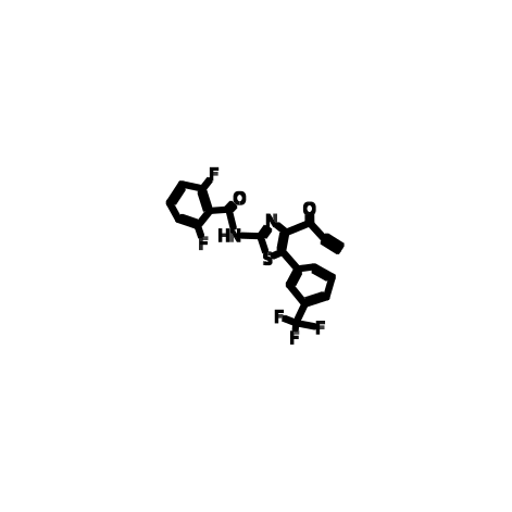 C#CC(=O)c1nc(NC(=O)c2c(F)cccc2F)sc1-c1cccc(C(F)(F)F)c1